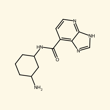 NC1CCCC(NC(=O)c2ccnc3[nH]cnc23)C1